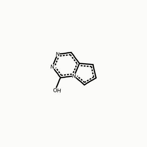 Oc1nncc2cccn12